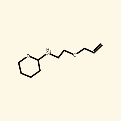 C=CCOCC[SiH2]C1CCCCO1